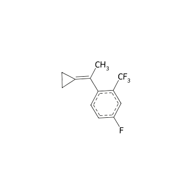 CC(=C1CC1)c1ccc(F)cc1C(F)(F)F